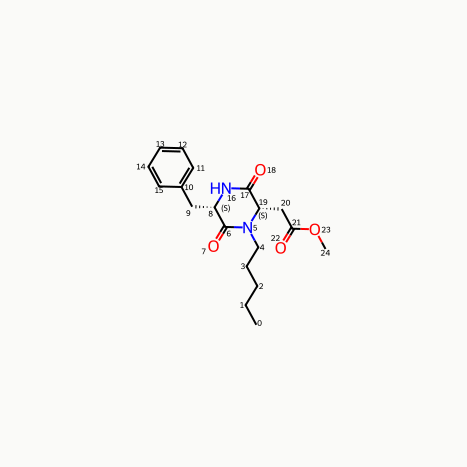 CCCCCN1C(=O)[C@H](Cc2ccccc2)NC(=O)[C@@H]1CC(=O)OC